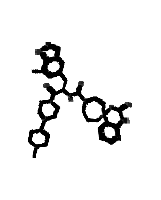 Cc1cc(C[C@@H](NC(=O)N2CCC[C@]3(CC2)OC(=O)Nc2ncccc23)C(=O)N2CCN(C3CCN(C)CC3)CC2)cc2cn[nH]c12